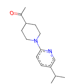 CC(=O)C1CCN(c2ccc(C(C)C)cn2)CC1